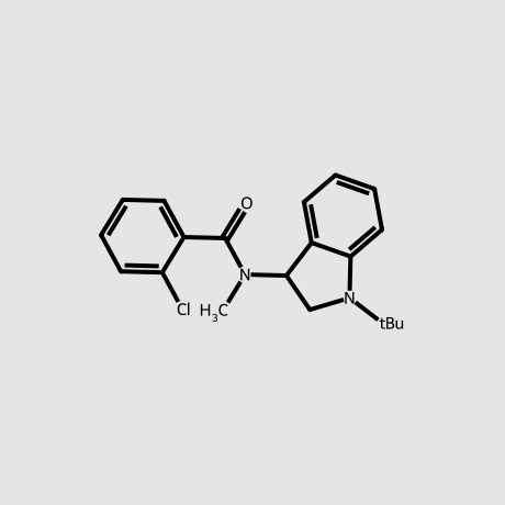 CN(C(=O)c1ccccc1Cl)C1CN(C(C)(C)C)c2ccccc21